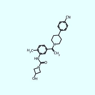 C=C(c1ccc(C)c(NC(=O)N2CC(O)C2)c1)N1CCC(c2ccc(C#N)cc2)CC1